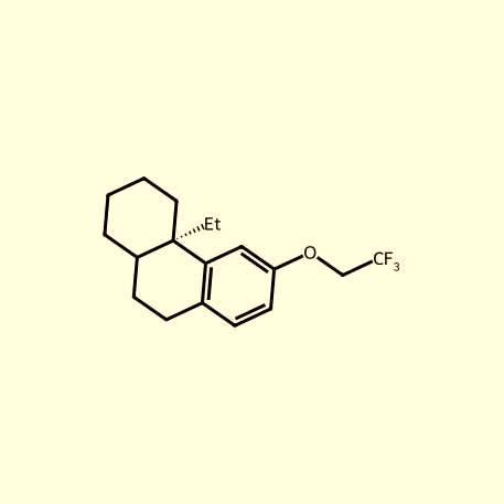 CC[C@@]12CCCCC1CCc1ccc(OCC(F)(F)F)cc12